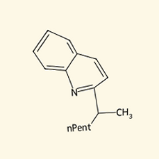 CCCCCC(C)c1ccc2ccccc2n1